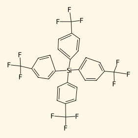 FC(F)(F)c1ccc([Si](c2ccc(C(F)(F)F)cc2)(c2ccc(C(F)(F)F)cc2)c2ccc(C(F)(F)F)cc2)cc1